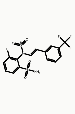 NS(=O)(=O)c1cccc(F)c1N(C=Cc1cccc(C(F)(F)F)c1)[SH](=O)=O